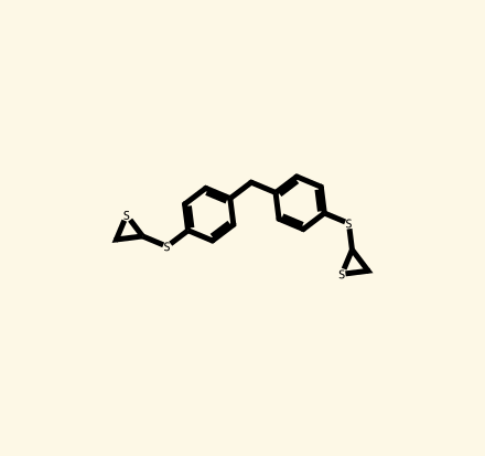 c1cc(SC2CS2)ccc1Cc1ccc(SC2CS2)cc1